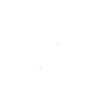 C[N+]12CCC(CC1)C(S)C2